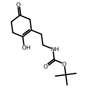 CC(C)(C)OC(=O)NCCC1=C(O)CCC(=O)C1